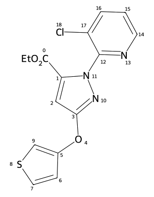 CCOC(=O)c1cc(Oc2ccsc2)nn1-c1ncccc1Cl